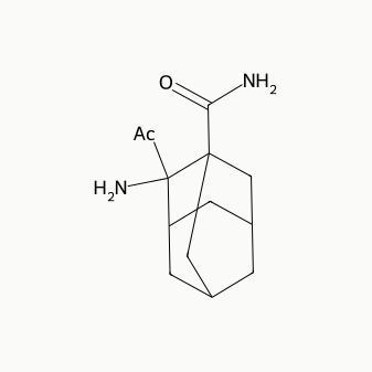 CC(=O)C1(N)C2CC3CC(C2)CC1(C(N)=O)C3